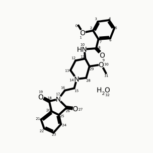 COc1ccccc1C(=O)NC1CCN(CCN2C(=O)c3ccccc3C2=O)CC1OC.O